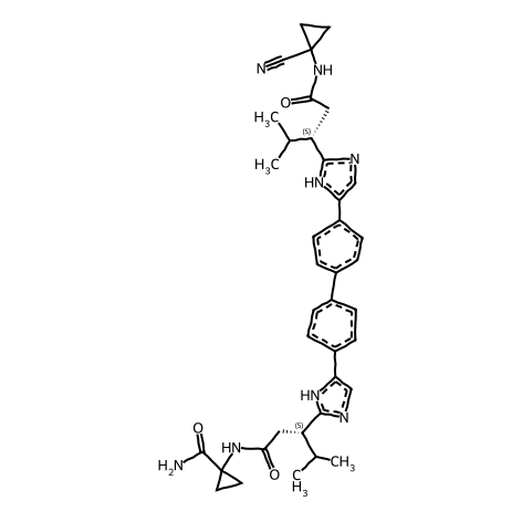 CC(C)[C@H](CC(=O)NC1(C#N)CC1)c1ncc(-c2ccc(-c3ccc(-c4cnc([C@@H](CC(=O)NC5(C(N)=O)CC5)C(C)C)[nH]4)cc3)cc2)[nH]1